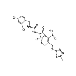 Cc1nnc(SCC2=C(C(=O)O)N3C(=O)C(NC(=O)NCc4ccc(Cl)cc4Cl)[C@@H]3SC2)s1